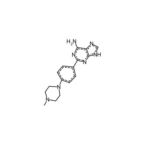 CN1CCN(c2ccc(-c3nc(N)c4nc[nH]c4n3)cc2)CC1